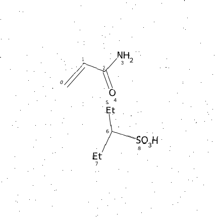 C=CC(N)=O.CCC(CC)S(=O)(=O)O